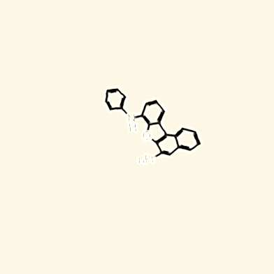 CCCc1cc2ccccc2c2c1oc1c(Nc3ccccc3)cccc12